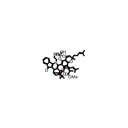 COC(=O)/C(C)=C\CC12OC(C)(C)C3CC(C1=O)C1C4=C(c5ccccc5C4=O)N(CCN)C4=C1C32Oc1c(CC=C(C)C)c2c(c(OP(=O)(O)O)c14)C=CC(C)(CCC=C(C)C)O2